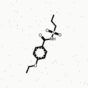 CCCS(=O)(=O)NC(=O)c1ccc(OCC)cc1